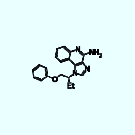 CCC(COc1ccccc1)n1cnc2c(N)nc3ccccc3c21